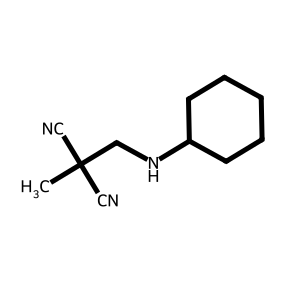 CC(C#N)(C#N)CNC1CCCCC1